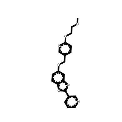 COCCOc1ccc(COc2ccc3oc(-c4cccnc4)nc3c2)cn1